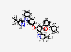 CC(C)(C)c1ccnc(-c2cc(Oc3ccc4c5ccccc5n(-c5cc(C(C)(C)C)ccn5)c4c3)cc3c2oc2c(-c4ccccc4)cccc23)c1